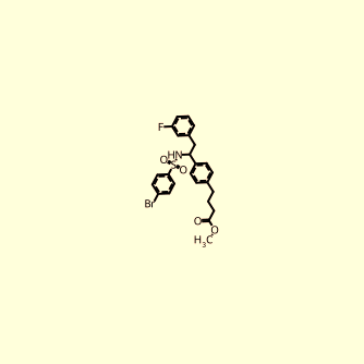 COC(=O)CCCc1ccc(C(Cc2cccc(F)c2)NS(=O)(=O)c2ccc(Br)cc2)cc1